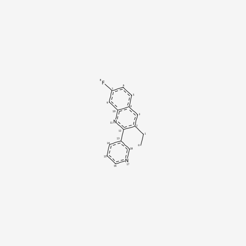 CCc1cc2ccc(F)cc2nc1-c1cccnc1